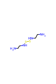 NCCNSSNCCN